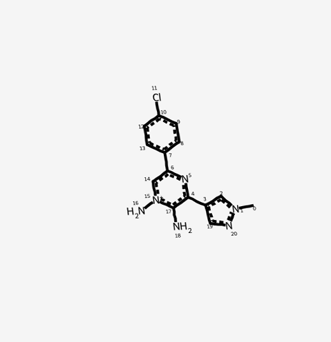 Cn1cc(-c2nc(-c3ccc(Cl)cc3)c[n+](N)c2N)cn1